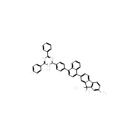 CC1(C)c2cc(C#N)ccc2-c2ccc(-c3ccc(-c4ccc(C5N=C(c6ccccc6)N=C(c6ccccc6)N5)cc4)c4ccccc34)cc21